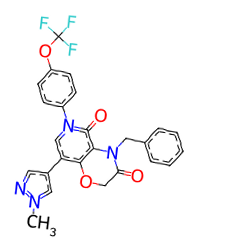 Cn1cc(-c2cn(-c3ccc(OC(F)(F)F)cc3)c(=O)c3c2OCC(=O)N3Cc2ccccc2)cn1